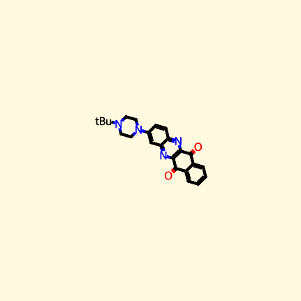 CC(C)(C)N1CCN(c2ccc3nc4c(nc3c2)C(=O)c2ccccc2C4=O)CC1